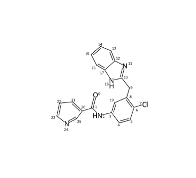 O=C(Nc1ccc(Cl)c(Cc2nc3ccccc3[nH]2)c1)c1cccnc1